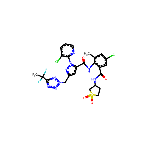 Cc1cc(Cl)cc(C(=O)NC2CCS(=O)(=O)C2)c1NC(=O)c1cc(Cn2nnc(C(F)(F)C(F)(F)F)n2)nn1-c1ncccc1Cl